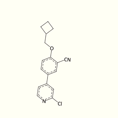 N#Cc1cc(-c2ccnc(Cl)c2)ccc1OCC1CCC1